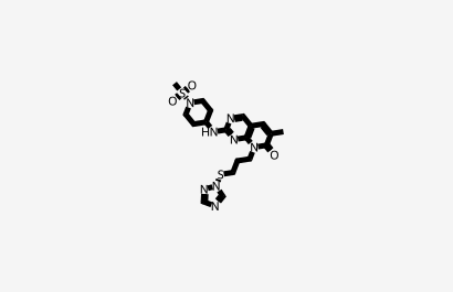 Cc1cc2cnc(NC3CCN(S(C)(=O)=O)CC3)nc2n(CCCSn2cncn2)c1=O